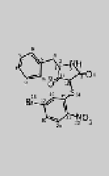 O=C1NN(Cc2ccccc2)C(=O)C1Sc1cc(Br)ccc1[N+](=O)[O-]